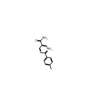 C=C(/N=C\C(=C/N)C(N)=O)c1ccc(C)cc1